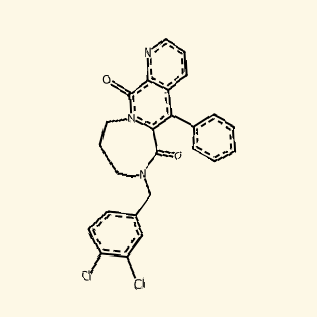 O=C1c2c(-c3ccccc3)c3cccnc3c(=O)n2CCCN1Cc1ccc(Cl)c(Cl)c1